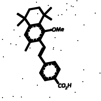 COc1c(C=Cc2ccc(C(=O)O)cc2)c(C)cc2c1C(C)(C)CCC2(C)C